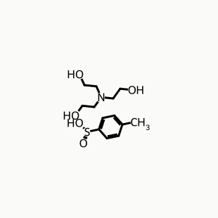 Cc1ccc(S(=O)O)cc1.OCCN(CCO)CCO